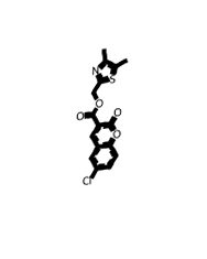 Cc1nc(COC(=O)c2cc3cc(Cl)ccc3oc2=O)sc1C